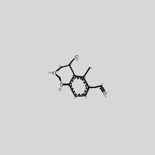 Cc1c(C=O)ccc2c1C(Cl)COO2